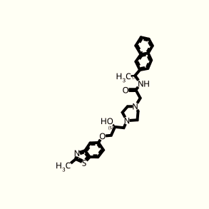 Cc1nc2cc(OC[C@@H](O)CN3CCN(CC(=O)N[C@@H](C)c4ccc5ccccc5c4)CC3)ccc2s1